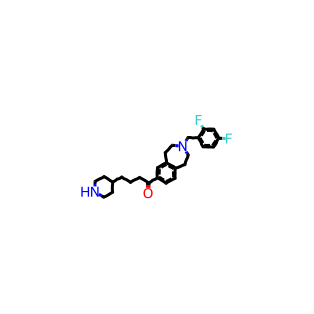 O=C(CCCC1CCNCC1)c1ccc2c(c1)CCN(Cc1ccc(F)cc1F)CC2